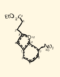 CCOC(=O)CCc1cc2cccc([N+](=O)[O-])c2o1